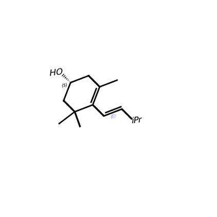 CC1=C(/C=C/C(C)C)C(C)(C)C[C@H](O)C1